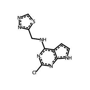 Clc1nc(NCc2nncs2)c2cc[nH]c2n1